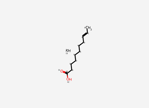 CC=CCCCCCCCC(=O)O.[KH]